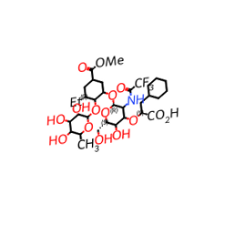 CC[C@@H]1CC(C(=O)OC)CC(O[C@@H]2O[C@@H](CO)C(O)C(O[C@@H](CC3CCCCC3)C(=O)O)C2NC(=O)C(F)(F)F)C1OC1OC(C)C(O)C(O)C1O